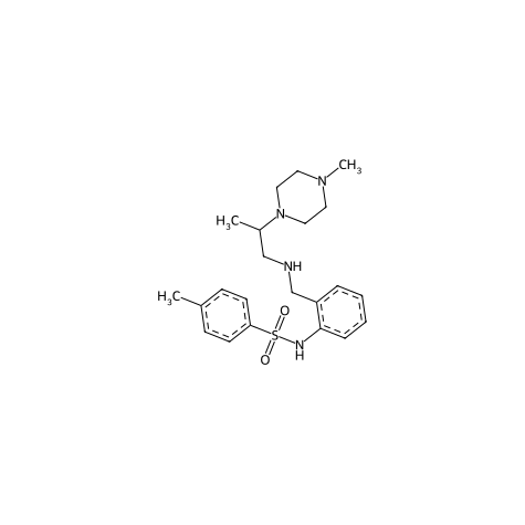 Cc1ccc(S(=O)(=O)Nc2ccccc2CNCC(C)N2CCN(C)CC2)cc1